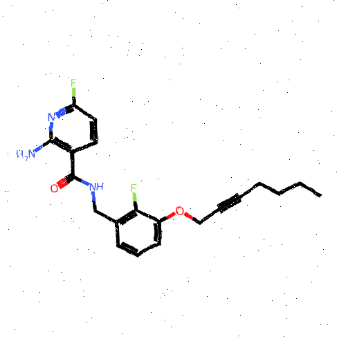 CCCCC#CCOc1cccc(CNC(=O)c2ccc(F)nc2N)c1F